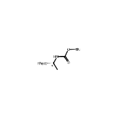 CCCCC[C@@H](C)NC(=O)OC(C)(C)C